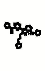 c1cc(NC2CCCC2)n2nc(CCCN3CCCC3)c(-c3ccnc(NC4CCCC4)n3)c2c1